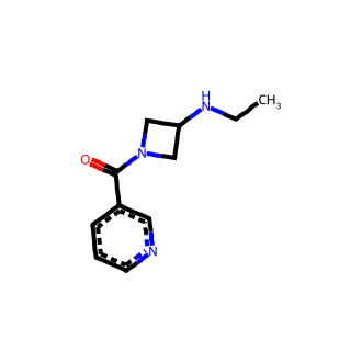 CCNC1CN(C(=O)c2cccnc2)C1